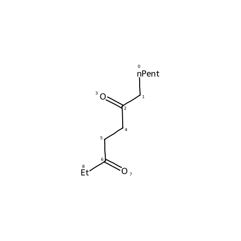 CCCCCCC(=O)CCC(=O)CC